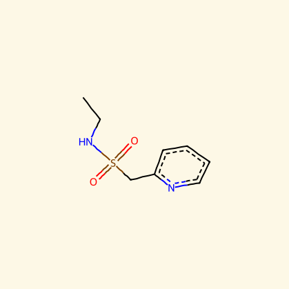 CCNS(=O)(=O)Cc1ccccn1